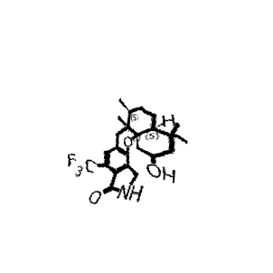 C[C@H]1CC[C@H]2C(C)(C)CC(O)C[C@]23Oc2c(cc(C(F)(F)F)c4c2CNC4=O)C[C@]13C